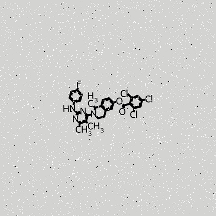 Cc1nc(Nc2ccc(F)cc2)nc(N2CCc3cc(OC(=O)c4c(Cl)cc(Cl)cc4Cl)ccc3C2C)c1C